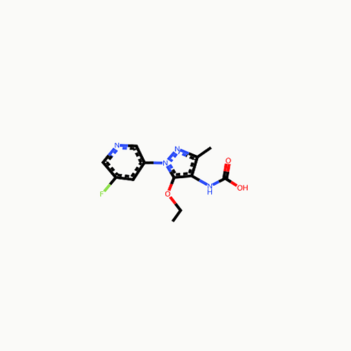 CCOc1c(NC(=O)O)c(C)nn1-c1cncc(F)c1